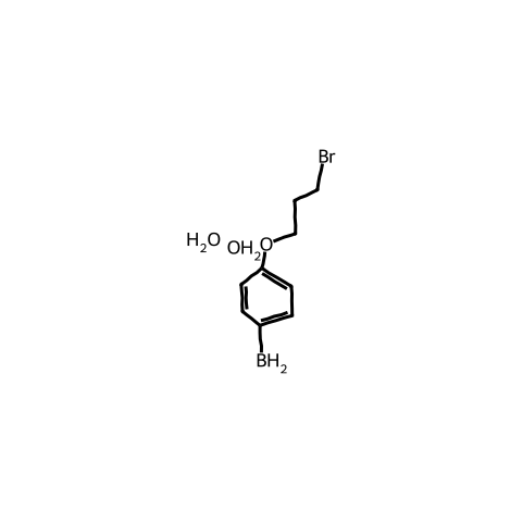 Bc1ccc(OCCCBr)cc1.O.O